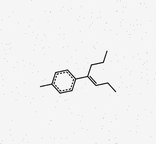 CC/C=C(\CCC)c1ccc(C)cc1